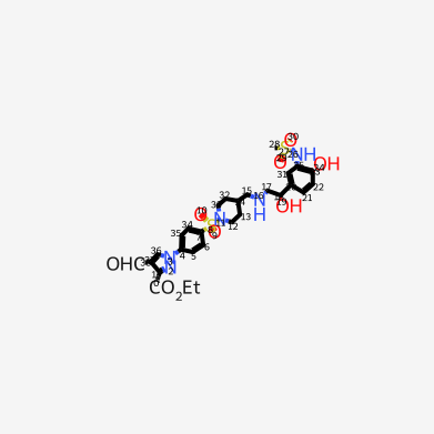 CCOC(=O)c1nn(-c2ccc(S(=O)(=O)N3CCC(CNC[C@H](O)c4ccc(O)c(NS(C)(=O)=O)c4)CC3)cc2)cc1C=O